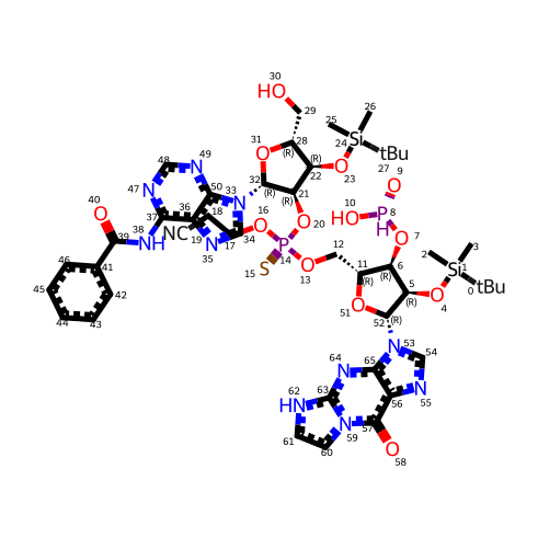 CC(C)(C)[Si](C)(C)O[C@@H]1[C@H](O[PH](=O)O)[C@@H](COP(=S)(OCCC#N)O[C@@H]2[C@H](O[Si](C)(C)C(C)(C)C)[C@@H](CO)O[C@H]2n2cnc3c(NC(=O)c4ccccc4)ncnc32)O[C@H]1n1cnc2c(=O)n3cc[nH]c3nc21